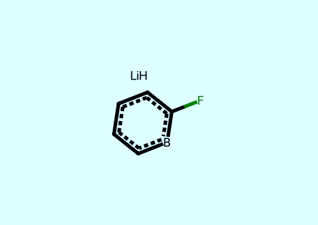 Fc1bcccc1.[LiH]